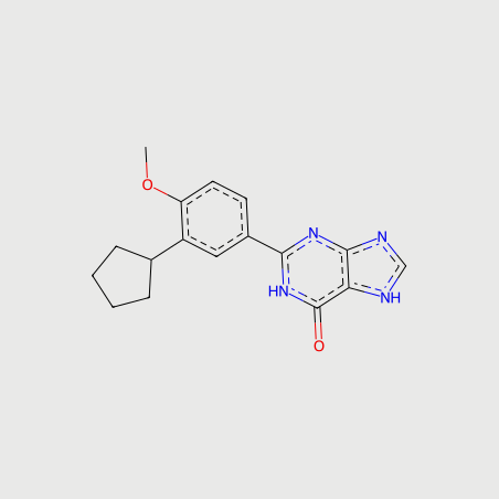 COc1ccc(-c2nc3nc[nH]c3c(=O)[nH]2)cc1C1CCCC1